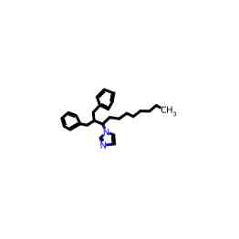 CCCCCCCCC(C(Cc1ccccc1)Cc1ccccc1)n1ccnc1